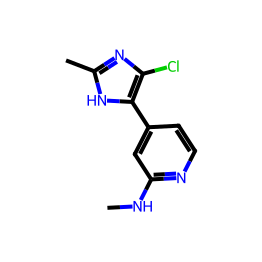 CNc1cc(-c2[nH]c(C)nc2Cl)ccn1